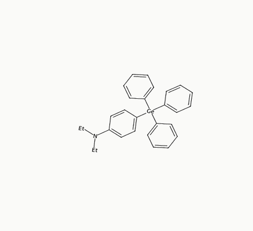 CCN(CC)c1cc[c]([Ge]([c]2ccccc2)([c]2ccccc2)[c]2ccccc2)cc1